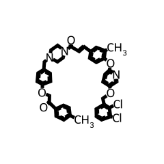 Cc1ccc(C(=O)COc2ccc(CN3CCN(C(=O)C=Cc4ccc(Oc5ccc(OCc6cccc(Cl)c6Cl)cn5)c(C)c4)CC3)cc2)cc1